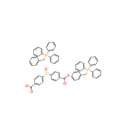 O=C([O-])c1ccc([S+]([O-])c2ccc(C(=O)[O-])cc2)cc1.c1ccc(C[P+](c2ccccc2)(c2ccccc2)c2ccccc2)cc1.c1ccc(C[P+](c2ccccc2)(c2ccccc2)c2ccccc2)cc1